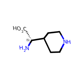 N[C@H](C(=O)O)C1CCNCC1